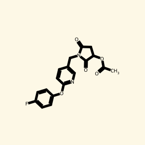 CC(=O)OC1CC(=O)N(Cc2ccc(Oc3ccc(F)cc3)nc2)C1=O